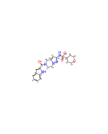 O=C(c1cc2ccccc2[nH]1)N1CCn2nc(NS(=O)(=O)C3CCOCC3)cc2C1